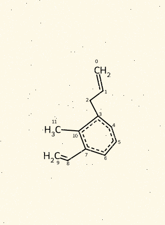 C=CCc1cccc(C=C)c1C